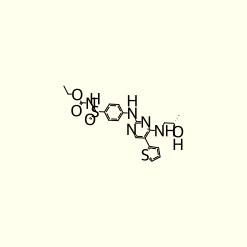 CCOC(=O)/N=[SH](=O)/c1ccc(Nc2ncc(-c3cccs3)c(NC[C@H](C)O)n2)cc1